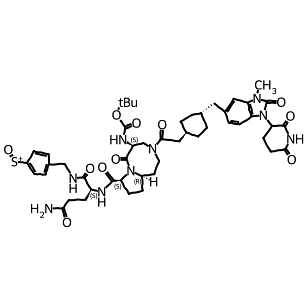 Cn1c(=O)n(C2CCC(=O)NC2=O)c2ccc(C[C@H]3CC[C@H](CC(=O)N4CC[C@H]5CC[C@@H](C(=O)N[C@@H](CCC(N)=O)C(=O)NCc6ccc([S+]=O)cc6)N5C(=O)[C@@H](NC(=O)OC(C)(C)C)C4)CC3)cc21